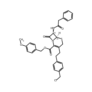 COc1ccc(COC(=O)C2=C(CCc3ccc(CCl)cc3)CS[C@@H]3[C@H](NC(=O)Cc4ccccc4)C(=O)N23)cc1